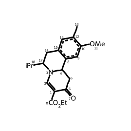 CCOC(=O)C1=CN2C(CC1=O)c1cc(OC)c(C)cc1CC2C(C)C